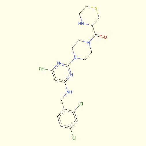 O=C(C1CSCCN1)N1CCN(c2nc(Cl)cc(NCc3ccc(Cl)cc3Cl)n2)CC1